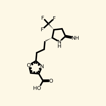 N=C1C[C@@H](C(F)(F)F)[C@@H](CCCc2nc(C(=O)O)co2)N1